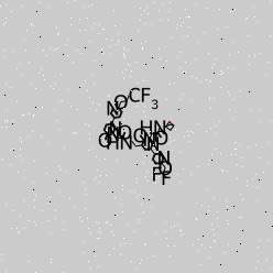 O=C(Cn1nc(-c2ccc(OCCC(F)(F)F)nc2)ccc1=O)NCCc1cc(-c2ccc(OC(F)F)nc2)nn(CC(=O)NC23CC(C2)C3)c1=O